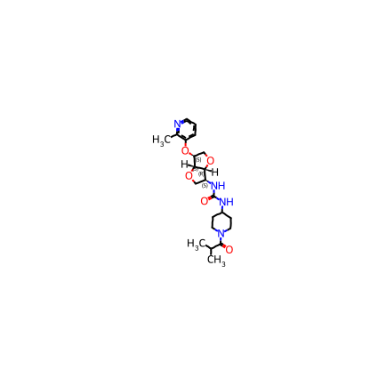 Cc1ncccc1O[C@H]1CO[C@H]2[C@@H]1OC[C@@H]2NC(=O)NC1CCN(C(=O)C(C)C)CC1